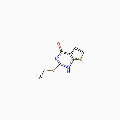 CCSc1nc(=O)c2ccsc2[nH]1